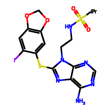 CC(C)S(=O)(=O)NCCn1c(Sc2cc3c(cc2I)OCO3)nc2c(N)ncnc21